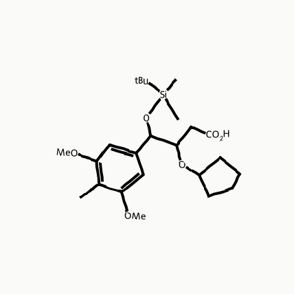 COc1cc(C(O[Si](C)(C)C(C)(C)C)C(CC(=O)O)OC2CCCC2)cc(OC)c1C